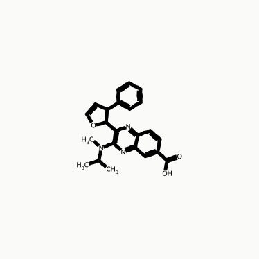 CC(C)N(C)c1nc2cc(C(=O)O)ccc2nc1C1OC=CC1c1ccccc1